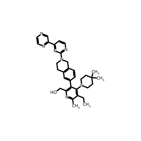 CCc1c(C)nc(CO)c(-c2ccc3c(c2)CCN(c2nccc(-c4cnccn4)n2)C3)c1N1CCC(C)(C)CC1